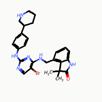 CC1(C)C(=O)Nc2cccc(CNc3nc(Nc4ccc(C5CCCNC5)cc4)ncc3Br)c21